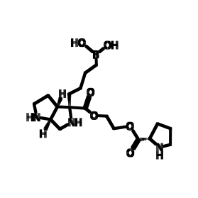 O=C(OCCOC(=O)[C@]1(CCCCB(O)O)NC[C@@H]2NCC[C@@H]21)[C@@H]1CCCN1